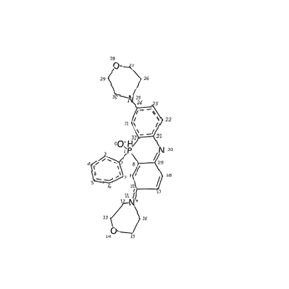 [O-][PH]1(c2ccccc2)C2=CC(=[N+]3CCOCC3)C=CC2=Nc2ccc(N3CCOCC3)cc21